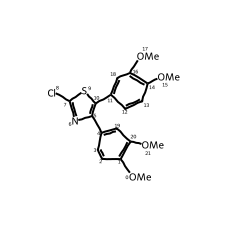 COc1ccc(-c2nc(Cl)sc2-c2ccc(OC)c(OC)c2)cc1OC